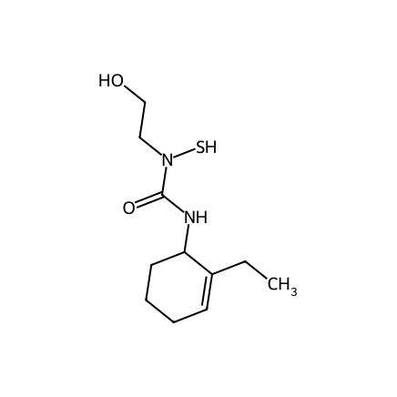 CCC1=CCCCC1NC(=O)N(S)CCO